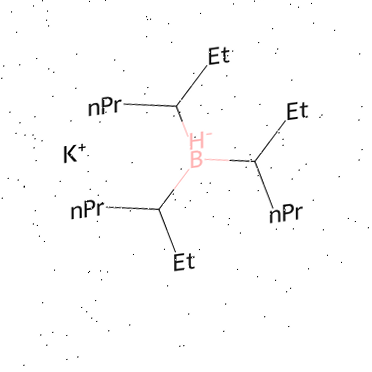 CCCC(CC)[BH-](C(CC)CCC)C(CC)CCC.[K+]